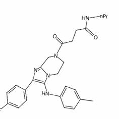 CCCNC(=O)CCC(=O)N1CCn2c(nc(-c3ccc(F)cc3)c2Nc2ccc(C)cc2)C1